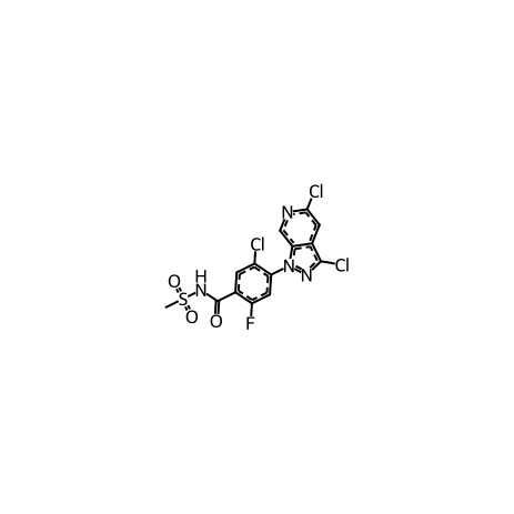 CS(=O)(=O)NC(=O)c1cc(Cl)c(-n2nc(Cl)c3cc(Cl)ncc32)cc1F